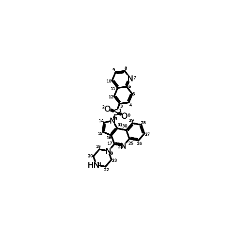 O=S(=O)(c1ccc2ncccc2c1)n1ccc2c(N3CCNCC3)nc3ccccc3c21